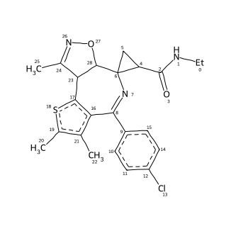 CCNC(=O)C1CC12N=C(c1ccc(Cl)cc1)c1c(sc(C)c1C)C1C(C)=NOC12